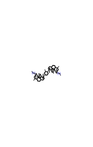 C/C=C/c1cc(C)c2ccc3ccc(-c4ccc(-c5ccc6ccc7c(C)cc(/C=C/C)nc7c6n5)c(C)c4)nc3c2n1